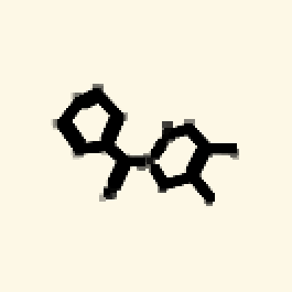 CC1=C(C)CN(C(=O)c2ccccc2)OC1